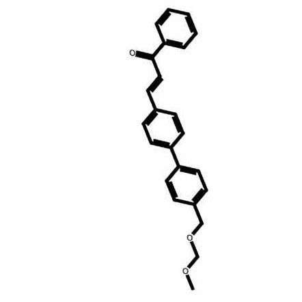 COCOCc1ccc(-c2ccc(/C=C/C(=O)c3ccccc3)cc2)cc1